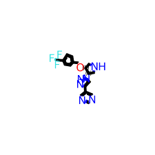 FC(F)(F)c1ccc(CO[C@@H]2CNC[C@H]2n2cc(-c3cncnc3)nn2)cc1